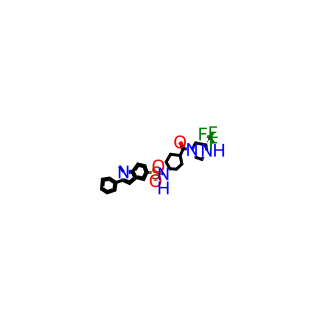 Cn1c(-c2ccccc2)cc2cc(S(=O)(=O)NC3CCC(C(=O)N4CCN[C@@H](C(F)(F)F)C4)CC3)ccc21